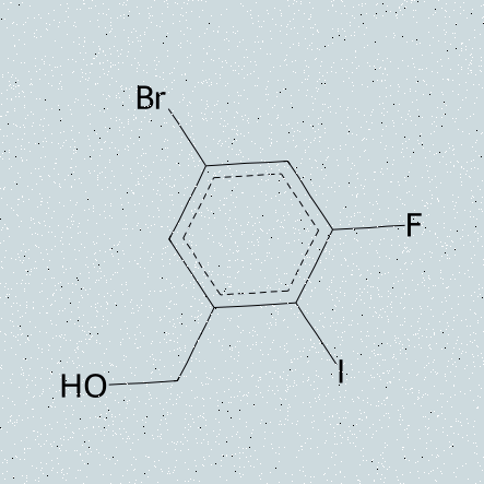 OCc1cc(Br)cc(F)c1I